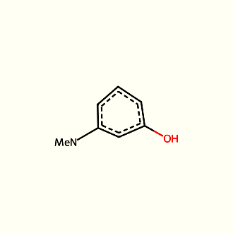 CNc1cccc(O)c1